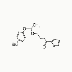 CCC(C)c1ccc(OC(C)OCCCC(=O)c2cccs2)cc1